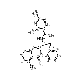 Cc1cnc(C(=O)N[C@@H](C)c2cc3cccc(C(F)(F)F)c3c(=O)n2-c2ccccc2)c(C)n1